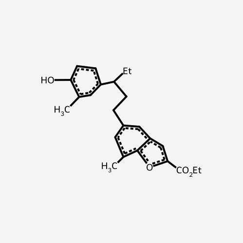 CCOC(=O)c1cc2cc(CCC(CC)c3ccc(O)c(C)c3)cc(C)c2o1